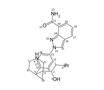 CC(C)CC(O)C12CNCCC1(c1ccc(-n3cc4cccc(C(N)=O)c4n3)cc1)C2